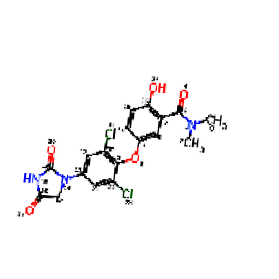 CN(C)C(=O)c1cc(Oc2c(Cl)cc(N3CC(=O)NC3=O)cc2Cl)ccc1O